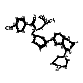 CC(C)CN(Cc1cccc(-c2ccc3ncnc(N4CCOCC4)c3c2)c1)C(=O)c1ccc(Cl)cc1